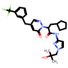 CC(C)(O)Cn1ccc(NC(=O)C(CC2CCCC2)n2ncc(Cc3cccc(C(F)(F)F)c3)cc2=O)n1